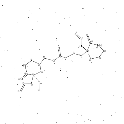 C=CC[C@]1(CCCC(=O)OCC2CNC(=O)[C@](CC)(CC=C)C2)CCCNC1=O